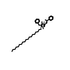 CCCCCCCCCCCCCCCCCCCn1cc(CC(C)c2ccccc2)[n+](C)c1Cc1ccccc1